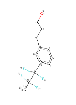 [O]CCCc1cccc(C(F)(F)C(F)(F)C(F)(F)F)c1